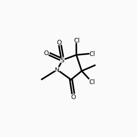 CN1C(=O)C(C)(Cl)C(Cl)(Cl)S1(=O)=O